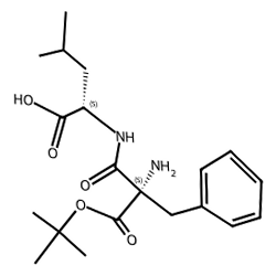 CC(C)C[C@H](NC(=O)[C@@](N)(Cc1ccccc1)C(=O)OC(C)(C)C)C(=O)O